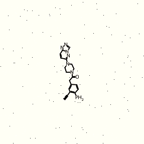 C#Cc1cc(CC(=O)N2CCN(c3ccc4nncn4n3)CC2)ccc1P